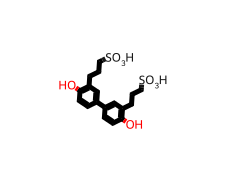 O=S(=O)(O)CCCc1cc(-c2ccc(O)c(CCCS(=O)(=O)O)c2)ccc1O